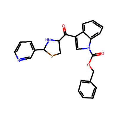 O=C(c1cn(C(=O)OCc2ccccc2)c2ccccc12)C1CSC(c2cccnc2)N1